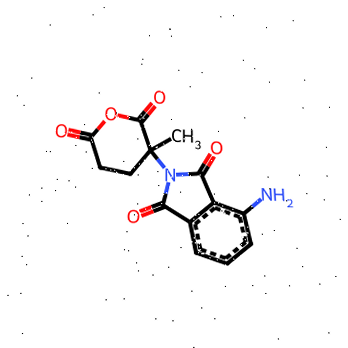 CC1(N2C(=O)c3cccc(N)c3C2=O)CCC(=O)OC1=O